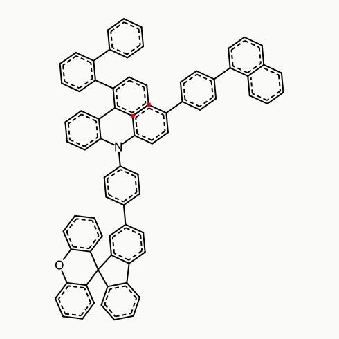 c1ccc(-c2ccccc2-c2ccccc2-c2ccccc2N(c2ccc(-c3ccc(-c4cccc5ccccc45)cc3)cc2)c2ccc(-c3ccc4c(c3)C3(c5ccccc5Oc5ccccc53)c3ccccc3-4)cc2)cc1